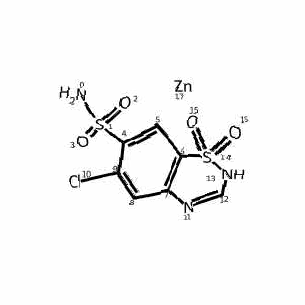 NS(=O)(=O)c1cc2c(cc1Cl)N=CNS2(=O)=O.[Zn]